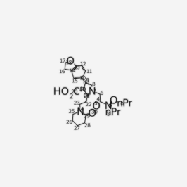 CCCON(CCC)C(=O)CN1C[C@H](c2ccc3c(c2)CCO3)[C@@H](C(=O)O)[C@@H]1CCN1CCCCC1=O